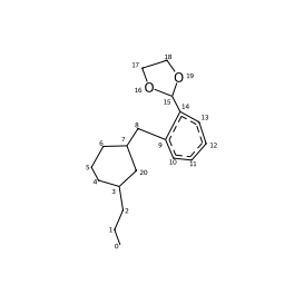 CCCC1CCCC(Cc2ccccc2C2OCCO2)C1